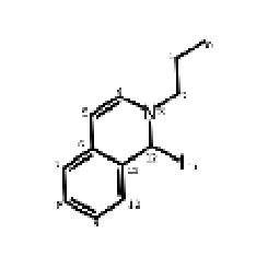 CCCN1C=Cc2ccccc2C1I